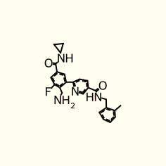 Cc1ccccc1CNC(=O)c1ccc(-c2cc(C(=O)NC3CC3)cc(F)c2CN)nc1